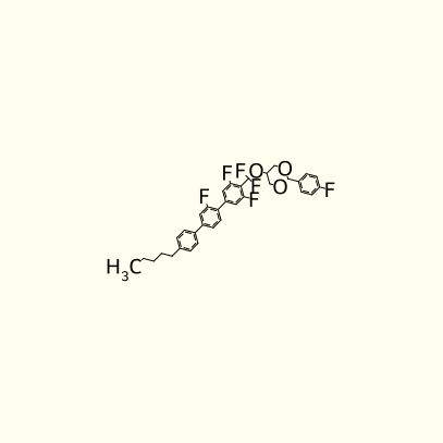 CCCCCc1ccc(-c2ccc(-c3cc(F)c(C(F)(F)OC4COC(c5ccc(F)cc5)OC4)c(F)c3)c(F)c2)cc1